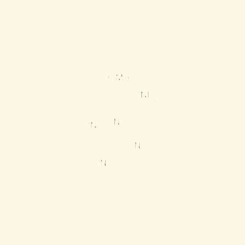 COCCc1nc2cnc3cccnc3c2n1CCN